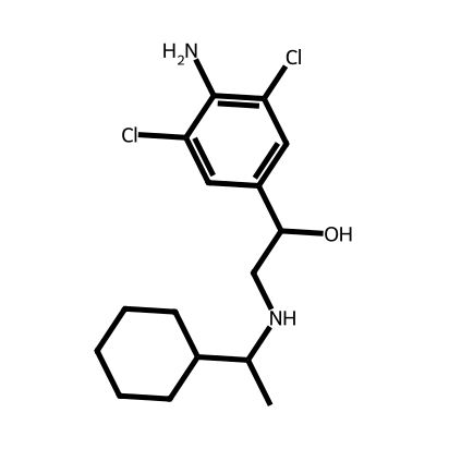 CC(NCC(O)c1cc(Cl)c(N)c(Cl)c1)C1CCCCC1